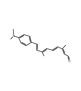 CC(C=CC=C(C)C=Cc1ccc(N(C)C)cc1)=CC=O